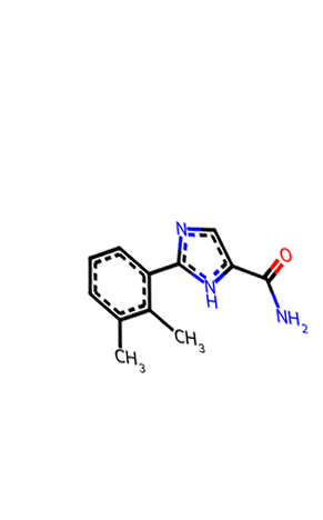 Cc1cccc(-c2ncc(C(N)=O)[nH]2)c1C